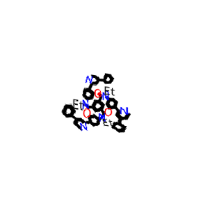 CCN(C(=O)c1cc(C(=O)N(CC)c2ccc(-c3cc(-c4ccccc4)ccn3)cc2)cc(C(=O)N(CC)c2ccc(-c3cc(-c4ccccc4)ccn3)cc2)c1)c1ccc(-c2cc(-c3ccccc3)ccn2)cc1